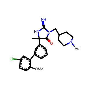 COc1ccc(Cl)cc1-c1cccc(C2(C)NC(=N)N(CC3CCN(C(C)=O)CC3)C2=O)c1